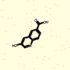 O=C(O)c1ccc2ncc(O)cc2c1